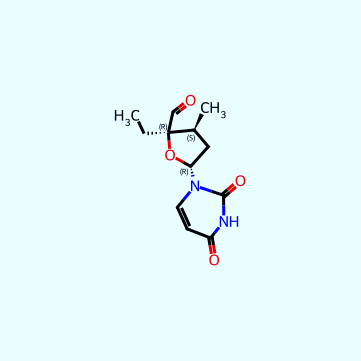 CC[C@@]1(C=O)O[C@@H](n2ccc(=O)[nH]c2=O)C[C@@H]1C